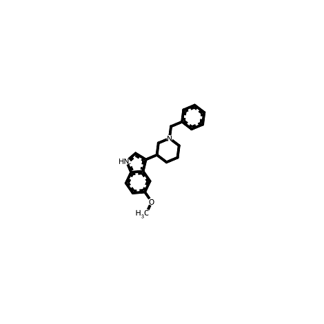 COc1ccc2[nH]cc(C3CCCN(Cc4ccccc4)C3)c2c1